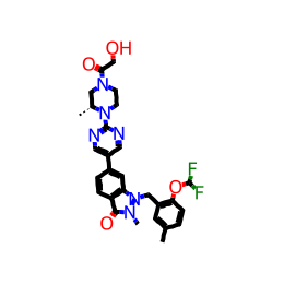 Cc1ccc(OC(F)F)c(Cn2c3cc(-c4cnc(N5CCN(C(=O)CO)C[C@H]5C)nc4)ccc3c(=O)n2C)c1